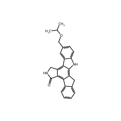 CC(C)OCc1ccc2[nH]c3c4c(c5c(c3c2c1)CNC5=O)-c1ccccc1C4